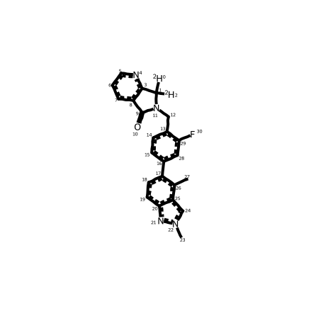 [2H]C1([2H])c2ncccc2C(=O)N1Cc1ccc(-c2ccc3nn(C)cc3c2C)cc1F